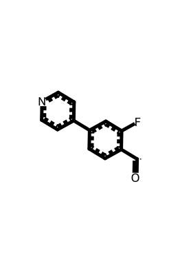 O=[C]c1ccc(-c2ccncc2)cc1F